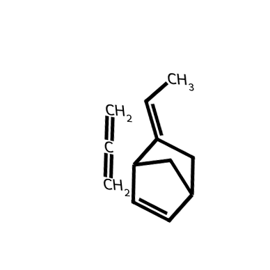 C=C=C.CC=C1CC2C=CC1C2